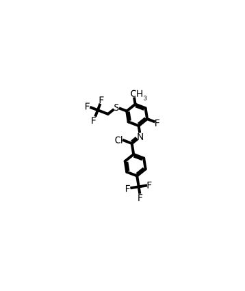 Cc1cc(F)c(N=C(Cl)c2ccc(C(F)(F)F)cc2)cc1SCC(F)(F)F